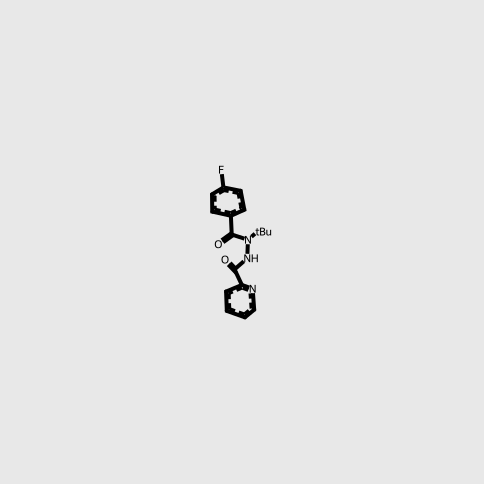 CC(C)(C)N(NC(=O)c1ccccn1)C(=O)c1ccc(F)cc1